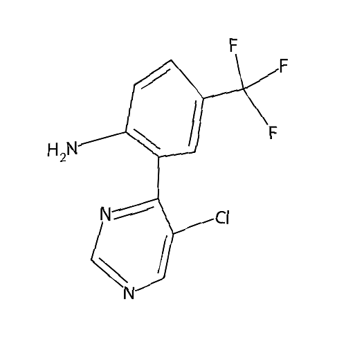 Nc1ccc(C(F)(F)F)cc1-c1ncncc1Cl